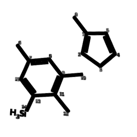 CC1=CCC=C1.Cc1cc(C)c(C)c([SiH3])c1